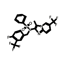 Cc1c(N(Cc2ccc(F)c(C(F)(F)F)c2)S(=O)(=O)c2ccccc2)nc2ccc(C(F)(F)F)cn12